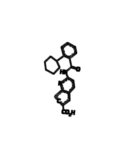 O=C(O)c1ccc2nc(NC(=O)c3ccccc3C3CCCCC3)ccc2c1